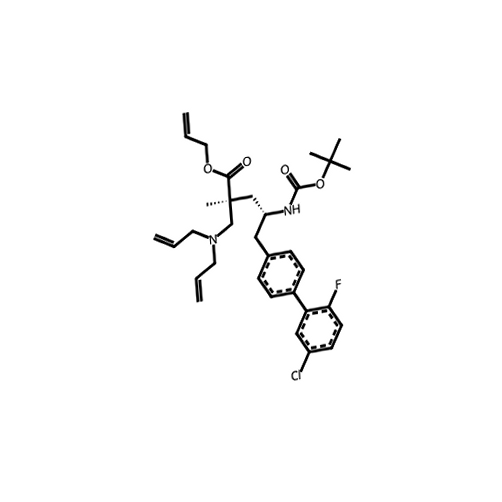 C=CCOC(=O)[C@@](C)(C[C@@H](Cc1ccc(-c2cc(Cl)ccc2F)cc1)NC(=O)OC(C)(C)C)CN(CC=C)CC=C